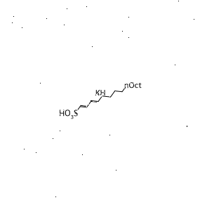 CCCCCCCCCCCCCCC=CS(=O)(=O)O.[KH]